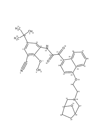 COc1c(C#N)cc(C(C)(C)C)cc1NC(=O)C(=O)c1ccc(OCCN2CC3CCC(C2)O3)c2ccccc12